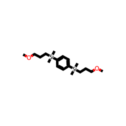 COCCC[Si](C)(C)c1ccc([Si](C)(C)CCCOC)cc1